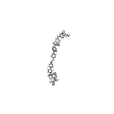 N#Cc1ccc(OC2CCC(NC(=O)c3cnc(N4CCC(CCN5CCN(c6ccc7c(c6)C(=O)N(C6CCC(=O)NC6=O)C7=O)CC5)CC4)nc3)CC2)cc1Cl